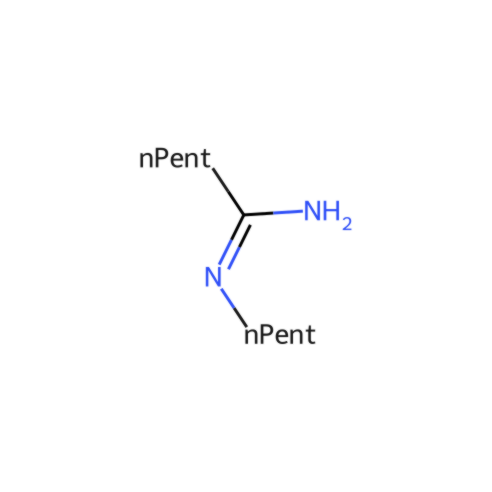 CCCCCN=C(N)CCCCC